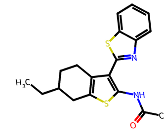 CCC1CCc2c(sc(NC(C)=O)c2-c2nc3ccccc3s2)C1